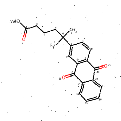 COC(=O)CCCC(C)(C)c1ccc2c(c1)C(=O)c1ccccc1C2=O